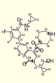 Cc1c(F)cc(C(=O)NC2CC2)cc1-c1ccc2c(=O)n(CC3(CO)CC3)cc(S(=O)(=O)N3CCCNCC3)c2c1